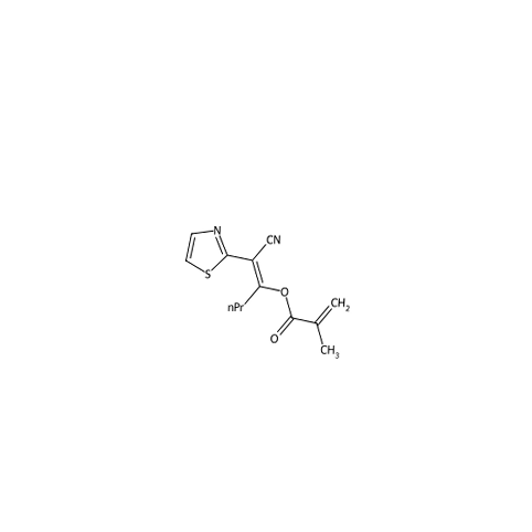 C=C(C)C(=O)O/C(CCC)=C(\C#N)c1nccs1